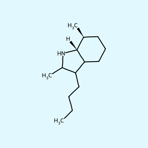 CCCCC1C(C)N[C@H]2C1CCC[C@@H]2C